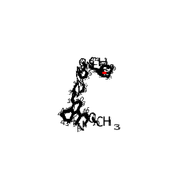 CCOc1cncc(-c2ccc(CN3CCN(c4ccc(C(=O)N(C)CC56CC7CC(CC(C7)C5)C6)nn4)CC3)c3ccccc23)c1